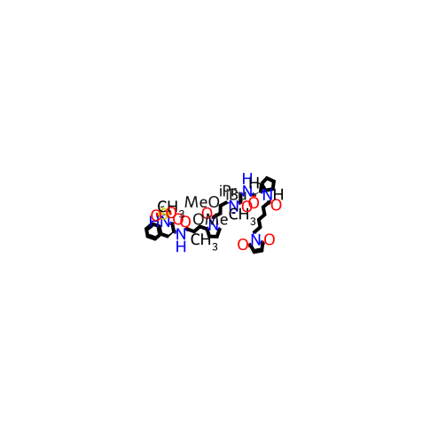 CC[C@H](C)[C@@H]([C@@H](CC(=O)N1CCCC1[C@H](OC)[C@@H](C)C(=O)N[C@@H](Cc1ccccc1)C(=O)NS(C)(=O)=O)OC)N(C)C(=O)[C@@H](NC(=O)[C@@H]1[C@H]2CC[C@H](C2)N1C(=O)CCCCCN1C(=O)C=CC1=O)C(C)C